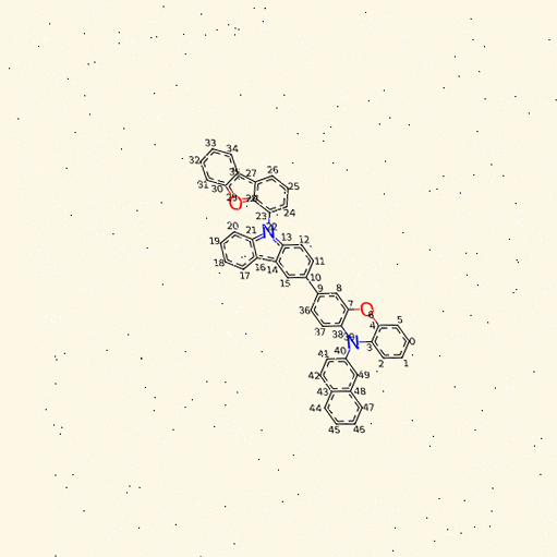 c1ccc2c(c1)Oc1cc(-c3ccc4c(c3)c3ccccc3n4-c3cccc4c3oc3ccccc34)ccc1N2c1ccc2ccccc2c1